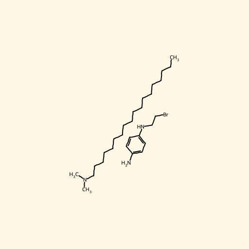 CCCCCCCCCCCCCCCCCCN(C)C.Nc1ccc(NCCBr)cc1